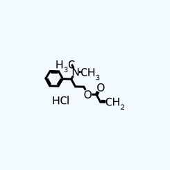 C=CC(=O)OCCC(c1ccccc1)N(C)C.Cl